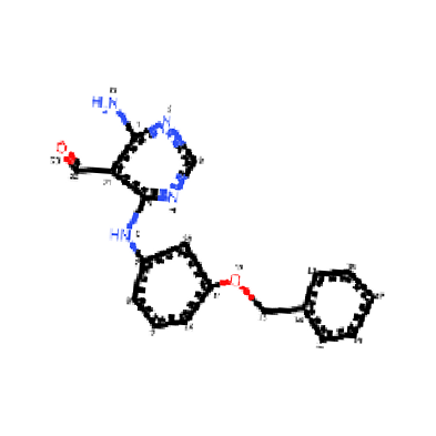 Nc1ncnc(Nc2cccc(OCc3ccccc3)c2)c1C=O